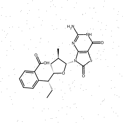 CC[C@H](c1ccccc1C(=O)O)[C@@H]1C[C@@H](C)[C@H](n2c(=O)sc3c(=O)[nH]c(N)nc32)O1